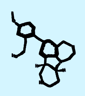 COc1ccc(-c2cc3c4c(c2)[C@@H]2CNCC[C@@H]2N4CCSC3)c(CO)c1